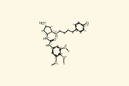 COc1cc(NC(=O)NC2CCCC2NCCCCc2ccc(Cl)cc2)cc(OC)c1OC.Cl